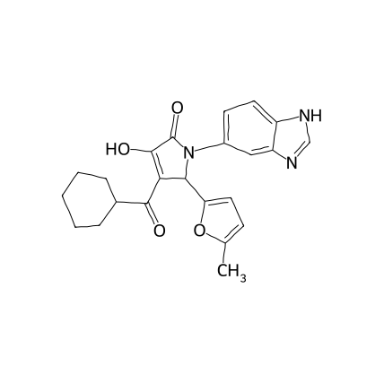 Cc1ccc(C2C(C(=O)C3CCCCC3)=C(O)C(=O)N2c2ccc3[nH]cnc3c2)o1